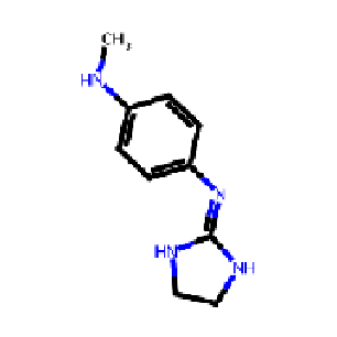 CNc1ccc(N=C2NCCN2)cc1